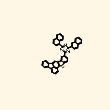 c1ccc2c(c1)-c1cccc3c1c-2cc1c2cc(-c4nc(-c5ccc6ccccc6c5)nc(-c5cccc6ccccc56)n4)ccc2sc31